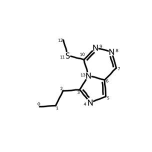 CCCc1ncc2cnnc(SC)n12